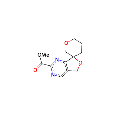 COC(=O)c1ncc2c(n1)C1(CCCOC1)OC2